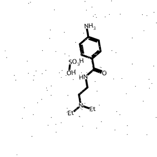 CCN(CC)CCNC(=O)c1ccc(N)cc1.O=S(=O)(O)O